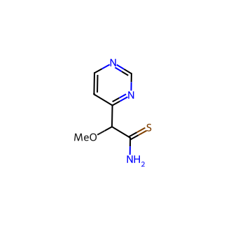 COC(C(N)=S)c1ccncn1